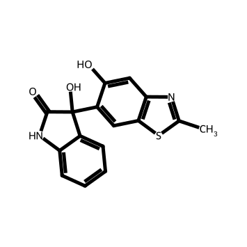 Cc1nc2cc(O)c(C3(O)C(=O)Nc4ccccc43)cc2s1